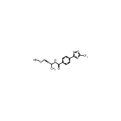 CCCCO/N=B/C(C)NC(=O)c1ccc(-c2noc(C(F)(F)F)n2)cc1